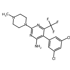 CN1CCN(c2nc(N)c(-c3cc(Cl)cc(Cl)c3)c(C(F)(F)F)n2)CC1